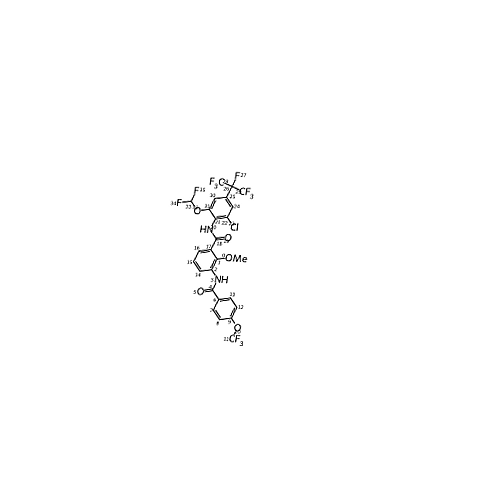 COc1c(NC(=O)c2ccc(OC(F)(F)F)cc2)cccc1C(=O)Nc1c(Cl)cc(C(F)(C(F)(F)F)C(F)(F)F)cc1OC(F)F